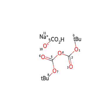 CC(C)(C)OC(=O)OC(=O)OC(C)(C)C.O=C([O-])O.[Na+]